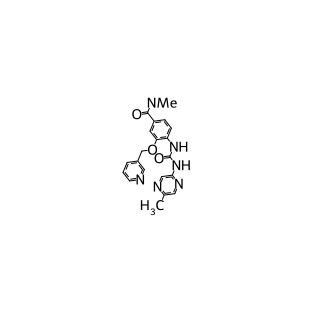 CNC(=O)c1ccc(NC(=O)Nc2cnc(C)cn2)c(OCc2cccnc2)c1